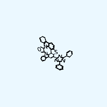 C1=CCC(c2nc(C3=Cc4c5n(c6ccccc46)C4COCC4n4c6c(c7ccc8c(c74)C5C3S8)CCC=C6)nc(-c3ccccc3)n2)C=C1